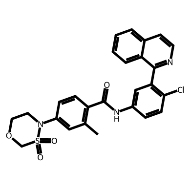 Cc1cc(N2CCOCS2(=O)=O)ccc1C(=O)Nc1ccc(Cl)c(-c2nccc3ccccc23)c1